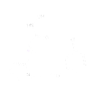 O=C(/C=C/c1cccn1CCOc1cccc(Cl)c1)NO